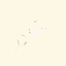 CCCN(NC(=O)c1ccc(I)cc1)C(=O)OC(C)(C)C